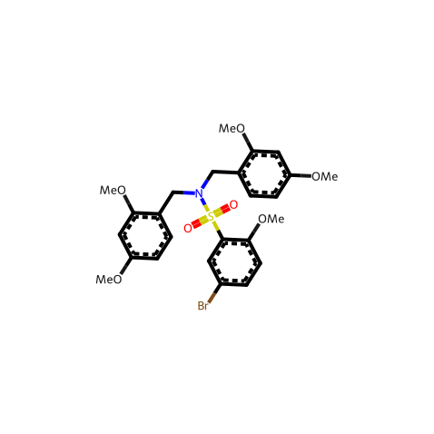 COc1ccc(CN(Cc2ccc(OC)cc2OC)S(=O)(=O)c2cc(Br)ccc2OC)c(OC)c1